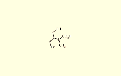 CC(C)C[C@@H](CO)N(C)C(=O)O